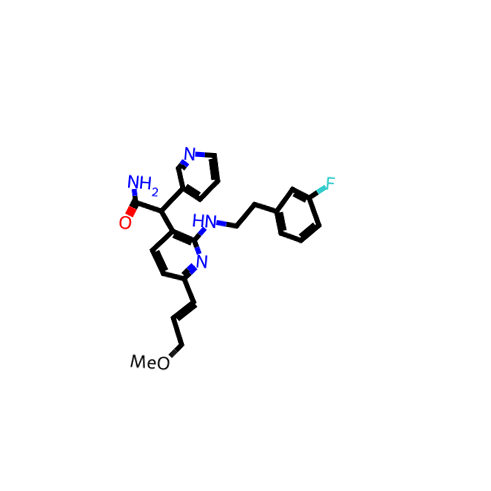 COC/C=C/c1ccc(C(C(N)=O)c2cccnc2)c(NCCc2cccc(F)c2)n1